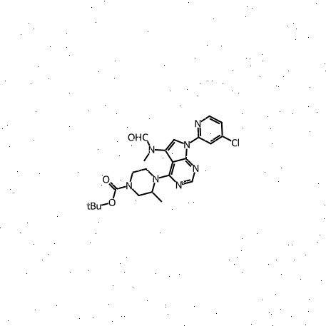 CC1CN(C(=O)OC(C)(C)C)CCN1c1ncnc2c1c(N(C)C=O)cn2-c1cc(Cl)ccn1